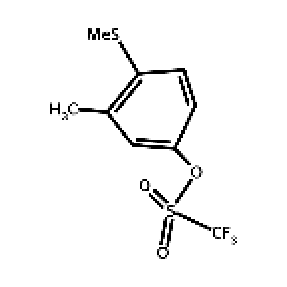 CSc1ccc(OS(=O)(=O)C(F)(F)F)cc1C